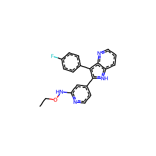 CCONc1cc(-c2[nH]c3cccnc3c2-c2ccc(F)cc2)ccn1